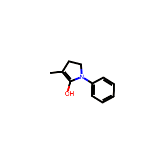 CC1=C(O)N(c2ccccc2)CC1